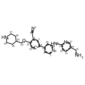 N#Cc1cc(-c2ccnc(Nc3ccc(CN)cn3)c2)ccc1OCC1CCNCC1